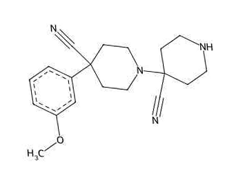 COc1cccc(C2(C#N)CCN(C3(C#N)CCNCC3)CC2)c1